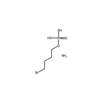 N.O=P(O)(O)OCCCCBr